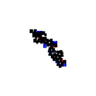 CC(C)NC(C)(C)COC(C)(C)CC(=O)Nc1ccc2[nH]c(=O)n(C3CCN(Cc4ccc(-c5nc6cc[nH]c(=O)c6cc5-c5ccccc5)cc4)CC3)c2c1